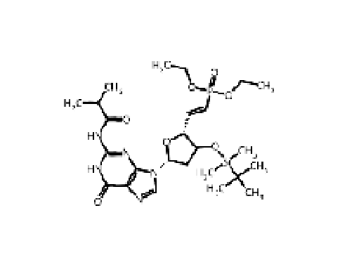 CCOP(=O)(/C=C/[C@H]1O[C@@H](n2cnc3c(=O)[nH]c(NC(=O)C(C)C)nc32)CC1O[Si](C)(C)C(C)(C)C)OCC